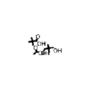 CC(=O)O.CC(C)(C)C(=O)O.CC(C)(CO)CO